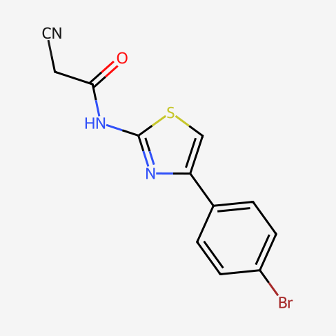 N#CCC(=O)Nc1nc(-c2ccc(Br)cc2)cs1